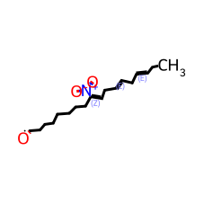 CC/C=C/C/C=C/C/C=C(/CCCCCCC[C]=O)[N+](=O)[O-]